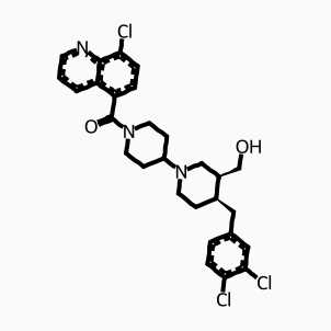 O=C(c1ccc(Cl)c2ncccc12)N1CCC(N2CC[C@H](Cc3ccc(Cl)c(Cl)c3)[C@H](CO)C2)CC1